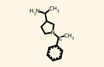 CC(N)C1CCN([C@@H](C)c2ccccc2)C1